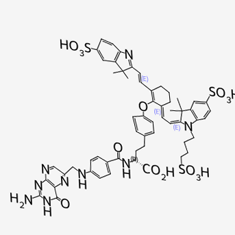 CC1(C)C(/C=C/C2=C(Oc3ccc(CC[C@@H](NC(=O)c4ccc(NCc5cnc6nc(N)[nH]c(=O)c6n5)cc4)C(=O)O)cc3)C(=C/C=C3/N(CCCCS(=O)(=O)O)c4ccc(S(=O)(=O)O)cc4C3(C)C)/CCC2)=Nc2ccc(S(=O)(=O)O)cc21